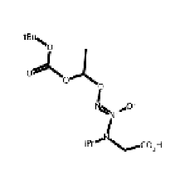 CC(ON=[N+]([O-])N(CC(=O)O)C(C)C)OC(=O)OC(C)(C)C